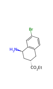 CCOC(=O)[C@H]1Cc2ccc(Br)cc2[C@H](N)C1